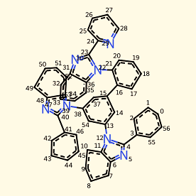 c1ccc(-c2nc3ccccc3n2-c2cc(-c3ccccc3-n3c(-c4ccccn4)nc4ccccc43)cc(-n3c(-c4ccccc4)nc4ccccc43)c2)cc1